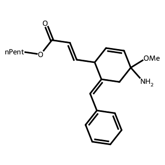 CCCCCOC(=O)C=CC1C=CC(N)(OC)CC1=Cc1ccccc1